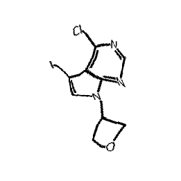 Clc1ncnc2c1c(I)cn2C1COC1